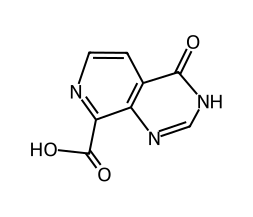 O=C(O)c1nccc2c(=O)[nH]cnc12